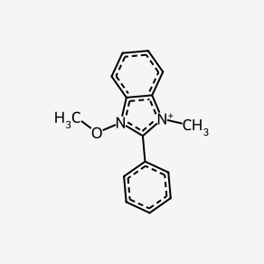 COn1c(-c2ccccc2)[n+](C)c2ccccc21